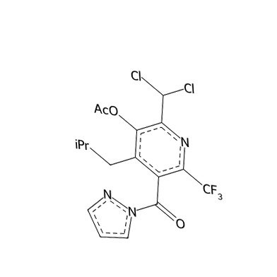 CC(=O)Oc1c(C(Cl)Cl)nc(C(F)(F)F)c(C(=O)n2cccn2)c1CC(C)C